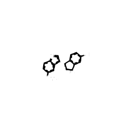 COc1ccc2[nH]cc([C@H]3C[C@@H](O)c4cc(Cl)ccc43)c2c1